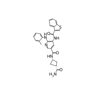 Cc1ccccc1Nc1ncc(C(=O)N[C@H]2C[C@@H](C(N)=O)C2)cc1NC(=O)c1csc2ccccc12